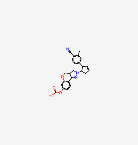 Cc1cc(C2C=CCC2N2CC3COc4cc(OC(=O)O)ccc4C3=N2)ccc1C#N